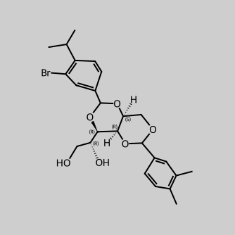 Cc1ccc(C2OC[C@@H]3OC(c4ccc(C(C)C)c(Br)c4)O[C@H]([C@H](O)CO)[C@@H]3O2)cc1C